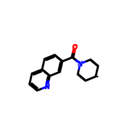 O=C(c1ccc2cccnc2c1)N1CC[CH]CC1